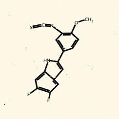 COc1ccc(-c2cc3cc(F)c(F)cc3[nH]2)cc1N=C=S